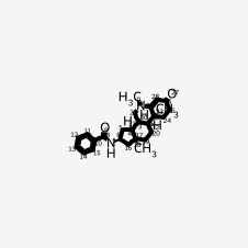 CN1C[C@H]2[C@@H]3C[C@H](NC(=O)c4ccccc4)C[C@@]3(C)CC[C@@H]2[C@@]2(C)CCC(=O)C=C12